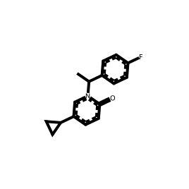 CC(c1ccc(F)cc1)n1cc(C2CC2)ccc1=O